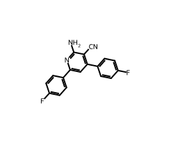 N#Cc1c(-c2ccc(F)cc2)cc(-c2ccc(F)cc2)nc1N